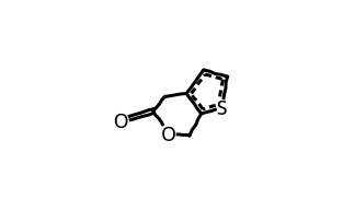 O=C1Cc2ccsc2CO1